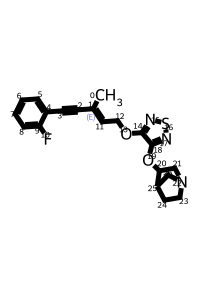 C/C(C#Cc1ccccc1F)=C\COc1nsnc1OC1CN2CCC1C2